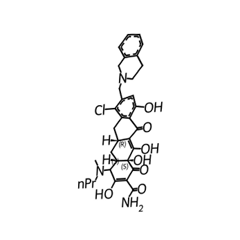 CCCN(C)C1C(O)=C(C(N)=O)C(=O)[C@@]2(O)C(O)=C3C(=O)c4c(O)cc(CN5CCc6ccccc6C5)c(Cl)c4C[C@H]3C[C@@H]12